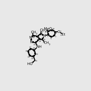 CCOc1ccc(-n2c(C)c3c(C)nnc(Nc4cccc(CO)c4)c3c2C)c(OC)c1